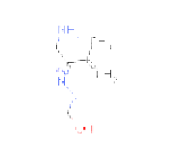 C=C(C)/C(CN)=N\NCO